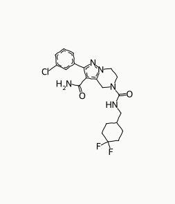 NC(=O)c1c(-c2cccc(Cl)c2)nn2c1CN(C(=O)NCC1CCC(F)(F)CC1)CC2